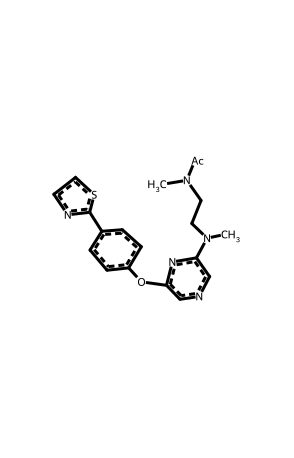 CC(=O)N(C)CCN(C)c1cncc(Oc2ccc(-c3nccs3)cc2)n1